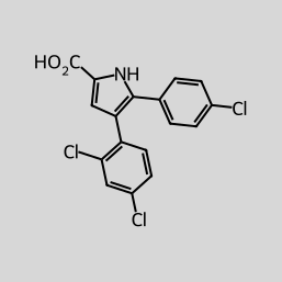 O=C(O)c1cc(-c2ccc(Cl)cc2Cl)c(-c2ccc(Cl)cc2)[nH]1